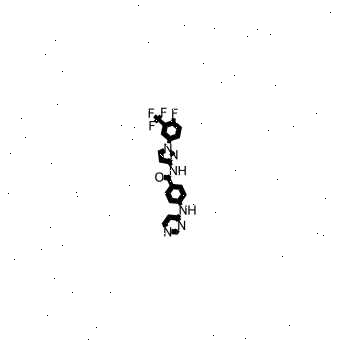 O=C(Nc1ccn(-c2ccc(F)c(C(F)(F)F)c2)n1)c1ccc(Nc2ccncn2)cc1